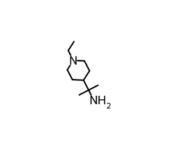 CCN1CCC(C(C)(C)N)CC1